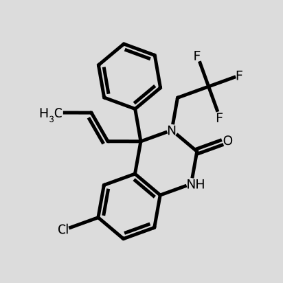 CC=CC1(c2ccccc2)c2cc(Cl)ccc2NC(=O)N1CC(F)(F)F